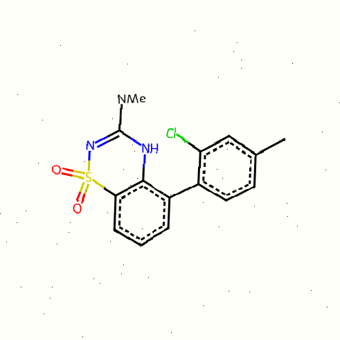 CNC1=NS(=O)(=O)c2cccc(-c3ccc(C)cc3Cl)c2N1